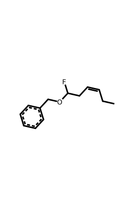 CC/C=C\CC(F)OCc1ccccc1